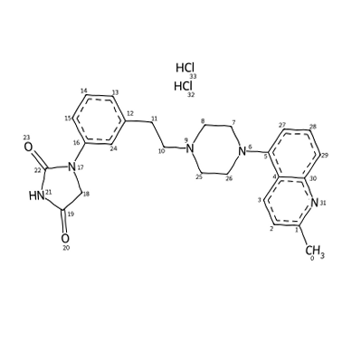 Cc1ccc2c(N3CCN(CCc4cccc(N5CC(=O)NC5=O)c4)CC3)cccc2n1.Cl.Cl